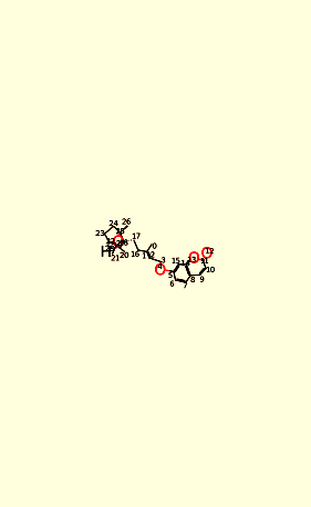 C/C(=C\COc1ccc2ccc(=O)oc2c1)CC[C@@H]1C(C)(C)[C@H]2CC[C@@]1(C)O2